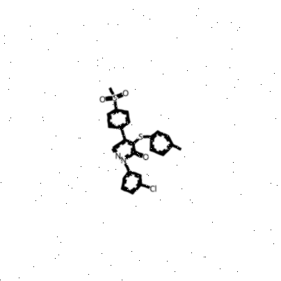 Cc1ccc(Sc2c(-c3ccc(S(C)(=O)=O)cc3)cnn(-c3cccc(Cl)c3)c2=O)cc1